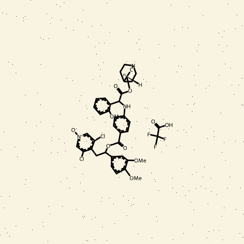 COc1ccc(C(Cc2c(Cl)c[n+]([O-])cc2Cl)OC(=O)c2ccc(NC(C(=O)O[C@H]3CN4CCC3CC4)c3ccccc3OC)cc2)cc1OC.O=C(O)C(F)(F)F